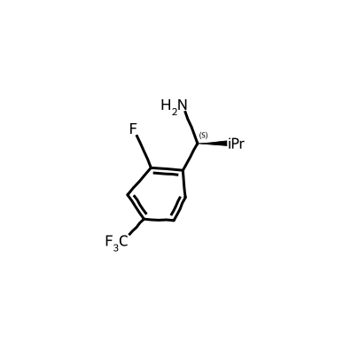 CC(C)[C@H](N)c1ccc(C(F)(F)F)cc1F